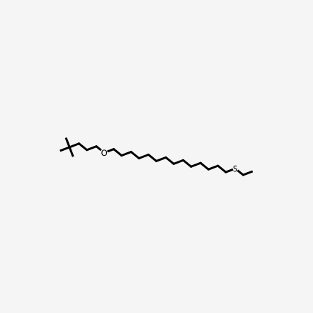 CCSCCCCCCCCCCCCCCOCCCC(C)(C)C